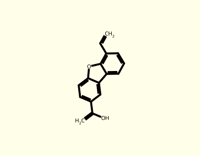 C=Cc1cccc2c1oc1ccc(C(=C)O)cc12